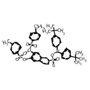 Cc1ccc(S(=O)(=O)Oc2cc3ccc(S(=O)(=O)O[I+](c4ccc(C(C)(C)C)cc4)c4ccc(C(C)(C)C)cc4)cc3cc2OS(=O)(=O)c2ccc(C)cc2)cc1